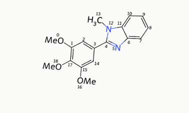 COc1cc(-c2nc3ccccc3n2C)cc(OC)c1OC